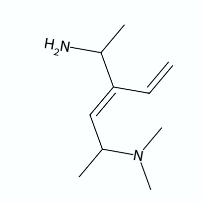 C=C/C(=C\C(C)N(C)C)C(C)N